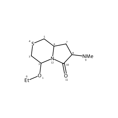 CCOC1CSCC2CC(NC)C(=O)N21